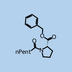 CCCCCC(=O)N1CCC[C@H]1C(=O)OCc1ccccc1